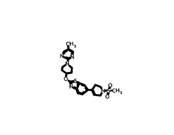 Cc1cnc(N2CCC(Oc3nc4ccc(C5=CCN(S(C)(=O)=O)CC5)cc4s3)CC2)nc1